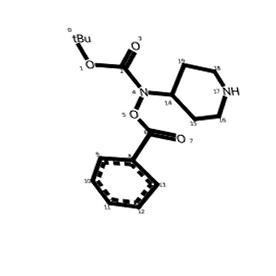 CC(C)(C)OC(=O)N(OC(=O)c1ccccc1)C1CCNCC1